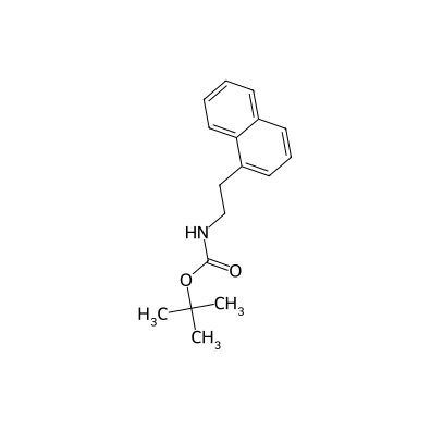 CC(C)(C)OC(=O)NCCc1cccc2ccccc12